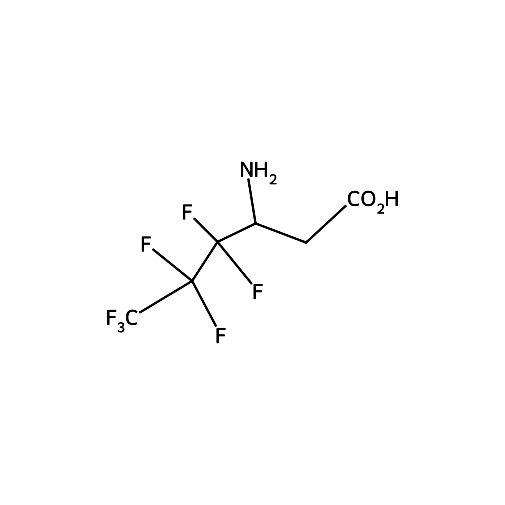 NC(CC(=O)O)C(F)(F)C(F)(F)C(F)(F)F